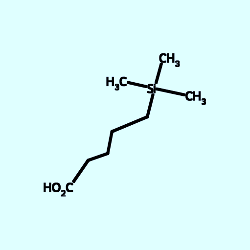 C[Si](C)(C)CCCCC(=O)O